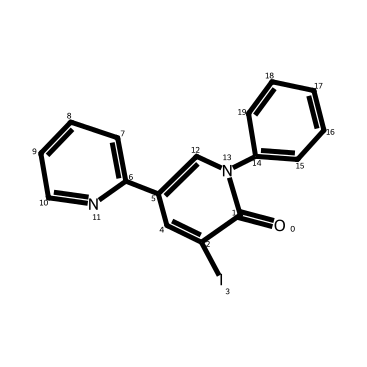 O=c1c(I)cc(-c2ccccn2)cn1-c1ccccc1